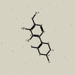 CC1=C(c2ccc(CF)c(F)c2F)CCC(C)C1